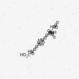 O=C(O)CCC(=O)NCCOCCOCCNC(=O)CCC(=O)NCCOCCOCCNC(=O)[C@H](CCCCNC(=O)OCc1ccccc1)NC(=O)OCc1ccccc1